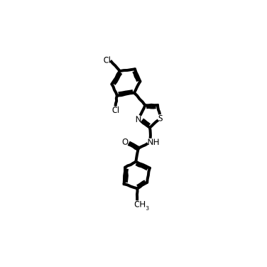 Cc1ccc(C(=O)Nc2nc(-c3ccc(Cl)cc3Cl)cs2)cc1